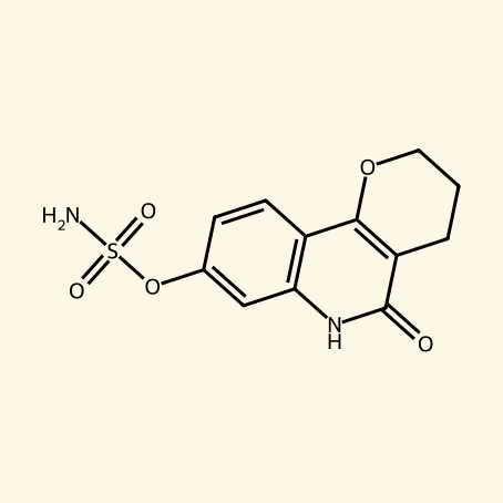 NS(=O)(=O)Oc1ccc2c3c(c(=O)[nH]c2c1)CCCO3